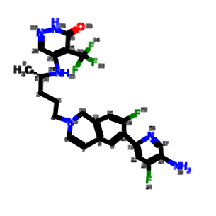 C[C@@H](CCCN1C=Cc2cc(-c3cc(F)c(N)cn3)c(F)cc2C1)Nc1cn[nH]c(=O)c1C(F)(F)F